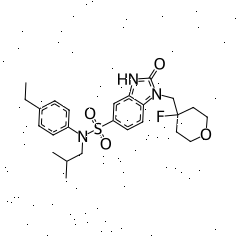 CCc1ccc(N(CC(C)C)S(=O)(=O)c2ccc3c(c2)[nH]c(=O)n3CC2(F)CCOCC2)cc1